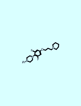 CC(C)N1CCN(c2c(F)cc(OCCCN3CCCCC3)cc2F)CC1